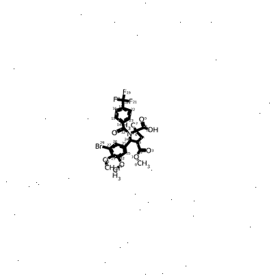 COC(=O)C1CC(C)(C(=O)O)N(C(=O)c2ccc(C(F)(F)F)cc2)C1c1cc(Br)c(OC)c(OC)c1